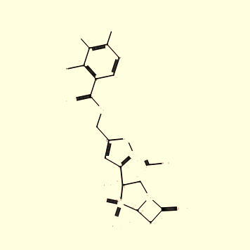 C[C@]1(c2cc(CNC(=O)c3ccc(O)c(O)c3Cl)on2)[C@H](C(=O)O)N2C(=O)C[C@H]2S1(=O)=O